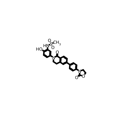 CS(=O)(=O)Nc1cc(N2CCc3cc(-c4ccc(N5CCOC5=O)cc4)ccc3C2=O)ccc1O